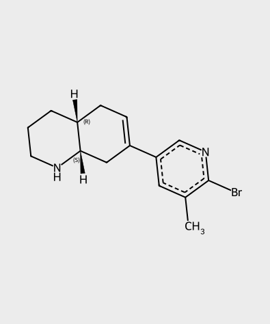 Cc1cc(C2=CC[C@H]3CCCN[C@H]3C2)cnc1Br